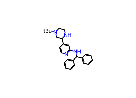 CC(C)(C)N1CCNC(c2ccnc(NC(c3ccccc3)c3ccccc3)c2)C1